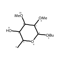 COC1C(OCC(C)C)OC(C)C(O)C1OC